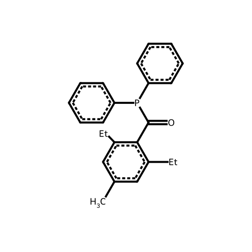 CCc1cc(C)cc(CC)c1C(=O)P(c1ccccc1)c1ccccc1